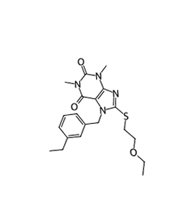 CCOCCSc1nc2c(c(=O)n(C)c(=O)n2C)n1Cc1cccc(CC)c1